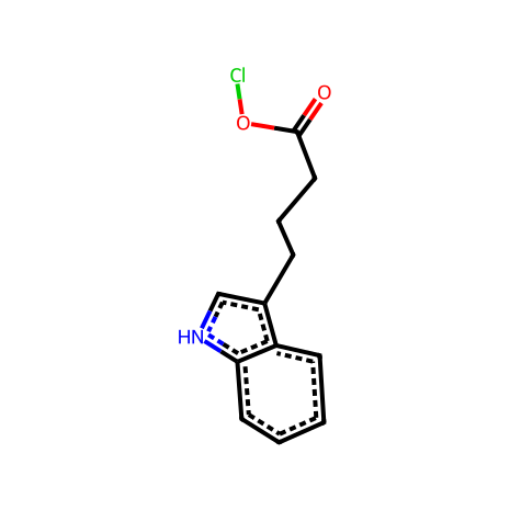 O=C(CCCc1c[nH]c2ccccc12)OCl